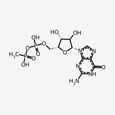 CP(=O)(O)OP(=O)(O)OC[C@H]1O[C@@H](n2cnc3c(=O)[nH]c(N)nc32)C(O)[C@H]1O